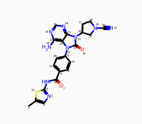 Cc1cnc(NC(=O)c2ccc(-n3c(=O)n(C4CCN(C#N)C4)c4ncnc(N)c43)cc2)s1